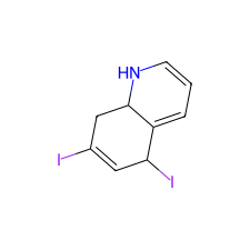 IC1=CC(I)C2=CC=CNC2C1